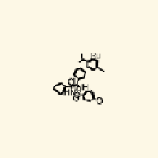 COc1ccc(S(=O)(=O)N[C@@](Cl)(c2ccccc2)[C@@H](N)c2ccccc2)cc1.Cc1ccc(C(C)C)cc1.[Ru]